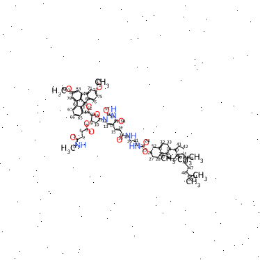 CNC(=O)CCC(=O)OC1C[C@H](n2cc(/C=C/C(=O)NCCNC(=O)O[C@H]3CC[C@@]4(C)C(=CCC5C4CC[C@@]4(C)C5CC[C@@H]4[C@H](C)CCCC(C)C)C3)c(=O)[nH]c2=O)O[C@@H]1COC(c1ccccc1)(c1ccc(OC)cc1)c1ccc(OC)cc1